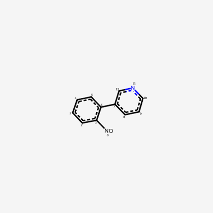 O=Nc1ccccc1-c1cccnc1